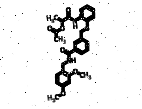 COc1ccc(CNC(=O)c2cccc(CSc3ccccc3NC(=O)C(C)OC(C)=O)c2)c(OC)c1